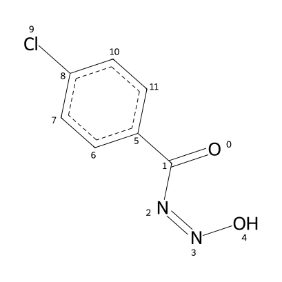 O=C(/N=N\O)c1ccc(Cl)cc1